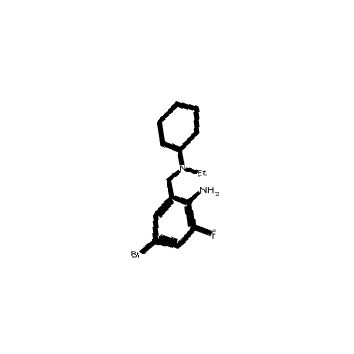 CCN(Cc1cc(Br)cc(F)c1N)C1CCCCC1